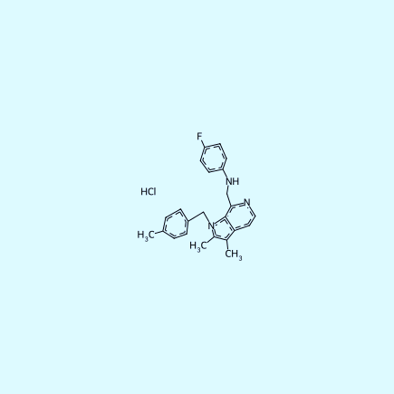 Cc1ccc(Cn2c(C)c(C)c3ccnc(CNc4ccc(F)cc4)c32)cc1.Cl